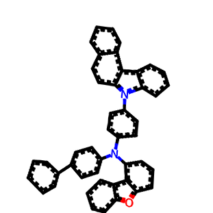 c1ccc(-c2ccc(N(c3ccc(-n4c5ccccc5c5c6ccccc6ccc54)cc3)c3cccc4oc5ccccc5c34)cc2)cc1